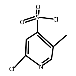 Cc1cnc(Cl)cc1S(=O)(=O)Cl